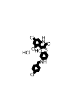 Cl.O=c1[nH]c2cc(Cl)cc(Cl)c2c(O)c1Sc1ccc(NCc2ccc(Cl)cc2)cc1